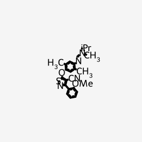 COc1ccccc1-c1nsc(Oc2cc(C)c(N=CN(C)C(C)C)cc2C)c1C#N